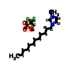 CCCCCCCCCCCC[n+]1ccn(C)c1.O=S(=O)([O-])C(F)(F)F